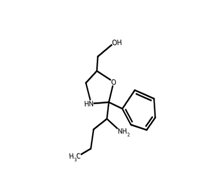 CCCC(N)C1(c2ccccc2)NCC(CO)O1